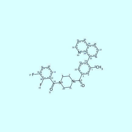 Cc1cc(C(=O)N2CCN(C(=O)c3cccc(F)c3F)CC2)ccc1-c1cccc2cccnc12